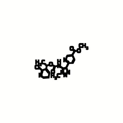 COC(=O)c1ccc(-c2nnn(C)c2NC(=O)O[C@H](C)c2cccnc2Cl)nc1